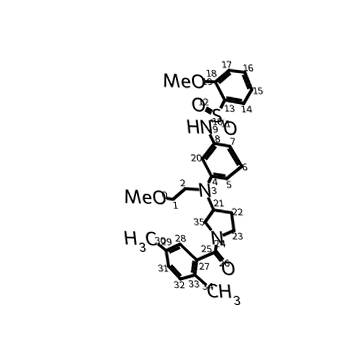 COCCN(c1cccc(NS(=O)(=O)c2ccccc2OC)c1)C1CCN(C(=O)c2cc(C)ccc2C)C1